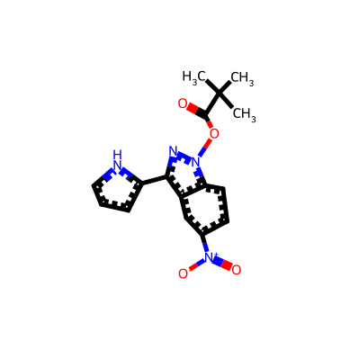 CC(C)(C)C(=O)On1nc(-c2ccc[nH]2)c2cc([N+](=O)[O-])ccc21